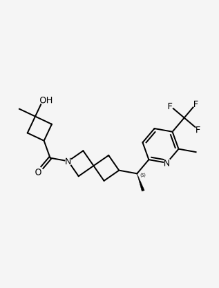 Cc1nc([C@@H](C)C2CC3(C2)CN(C(=O)C2CC(C)(O)C2)C3)ccc1C(F)(F)F